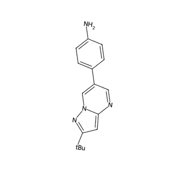 CC(C)(C)c1cc2ncc(-c3ccc(N)cc3)cn2n1